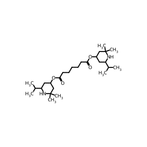 CC(C)C1CC(OC(=O)CCCCCC(=O)OC2CC(C(C)C)NC(C)(C)C2)CC(C)(C)N1